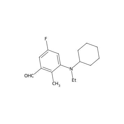 CCN(c1cc(F)cc(C=O)c1C)C1CCCCC1